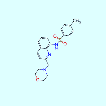 Cc1ccc(S(=O)(=O)Nc2cccc3ccc(CN4CCOCC4)nc23)cc1